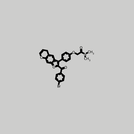 CN(C)C(=O)COc1ccc(-c2c(C(=O)c3ccc(Br)cc3)oc3cc4c(cc23)CC=CO4)cc1